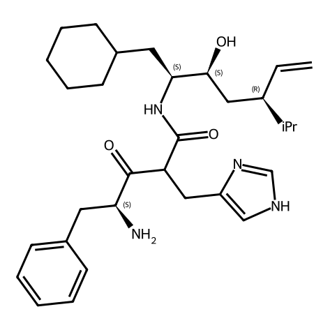 C=C[C@H](C[C@H](O)[C@H](CC1CCCCC1)NC(=O)C(Cc1c[nH]cn1)C(=O)[C@@H](N)Cc1ccccc1)C(C)C